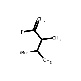 C=C(F)C(C)C(C)[C@H](C)CC